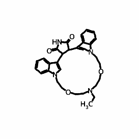 CCN1CCOCCn2cc(c3ccccc32)C2C(=O)NC(=O)C2c2cn(c3ccccc23)CCOCC1